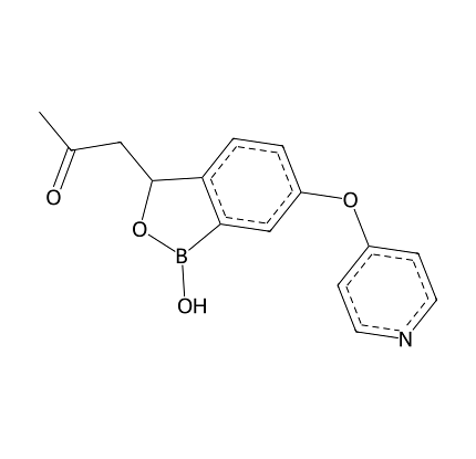 CC(=O)CC1OB(O)c2cc(Oc3ccncc3)ccc21